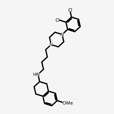 COc1ccc2c(c1)CC(NCCCCN1CCN(c3cccc(Cl)c3Cl)CC1)CC2